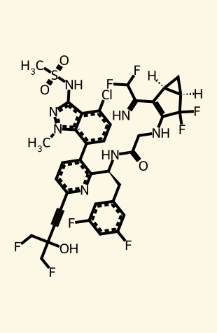 Cn1nc(NS(C)(=O)=O)c2c(Cl)ccc(-c3ccc(C#CC(O)(CF)CF)nc3[C@H](Cc3cc(F)cc(F)c3)NC(=O)CNC3=C(C(=N)C(F)F)[C@H]4C[C@H]4C3(F)F)c21